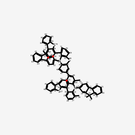 Cc1cc(-c2ccc(N(c3ccc4c(c3)C(C)(C)c3ccccc3-4)c3c(C)cccc3-c3cccc4c3sc3ccccc34)c(C)c2)ccc1N(c1ccc2c(c1)C(C)(C)c1ccccc1-2)c1c(C)cccc1-c1cccc2c1sc1ccccc12